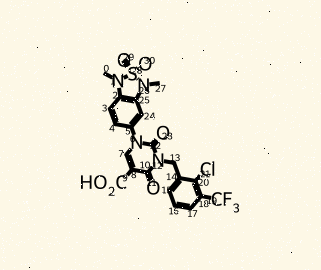 CN1c2ccc(-n3cc(C(=O)O)c(=O)n(Cc4cccc(C(F)(F)F)c4Cl)c3=O)cc2N(C)S1(=O)=O